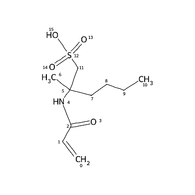 C=CC(=O)NC(C)(CCCC)CS(=O)(=O)O